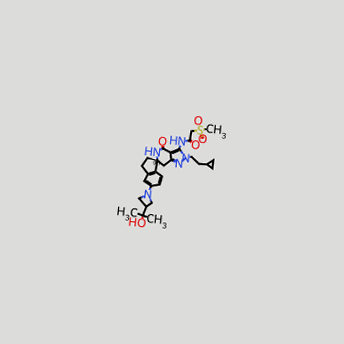 CC(C)(O)C1CN(c2ccc3c(c2)CC[C@@]32Cc3nn(CCC4CC4)c(NC(=O)CS(C)(=O)=O)c3C(=O)N2)C1